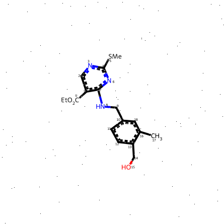 CCOC(=O)c1cnc(SC)nc1NCc1ccc(CO)c(C)c1